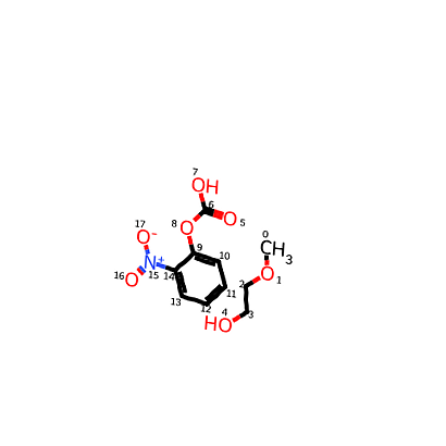 COCCO.O=C(O)Oc1ccccc1[N+](=O)[O-]